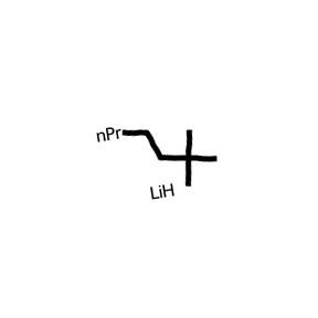 CCCCCC(C)(C)C.[LiH]